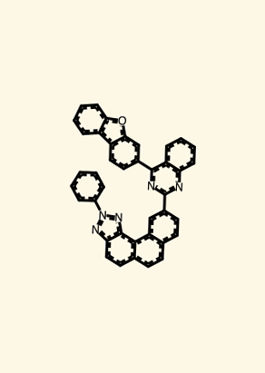 c1ccc(-n2nc3ccc4ccc5ccc(-c6nc(-c7ccc8c(c7)oc7ccccc78)c7ccccc7n6)cc5c4c3n2)cc1